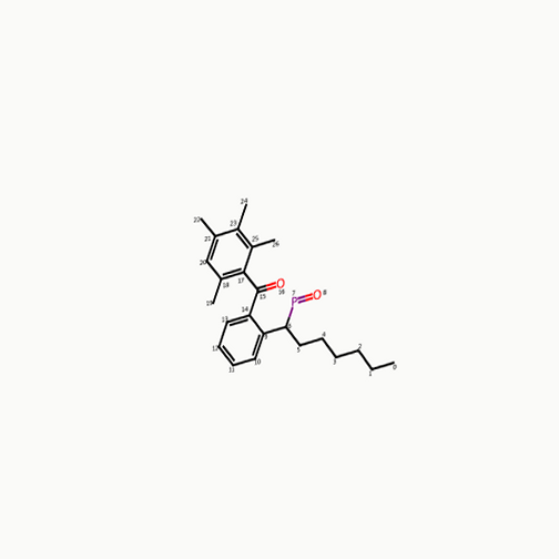 CCCCCCC(P=O)c1ccccc1C(=O)c1c(C)cc(C)c(C)c1C